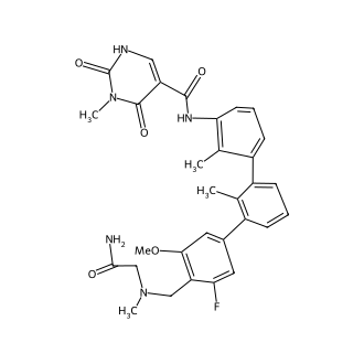 COc1cc(-c2cccc(-c3cccc(NC(=O)c4c[nH]c(=O)n(C)c4=O)c3C)c2C)cc(F)c1CN(C)CC(N)=O